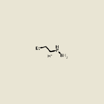 BPCCCC.[H+]